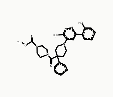 CC(C)(C)OC(=O)N1CCN(C(=O)C2(c3ccccc3)CCN(c3cc(-c4ccccc4O)nnc3N)CC2)CC1